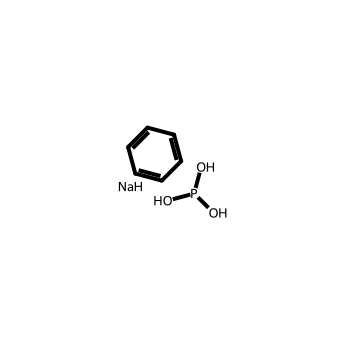 OP(O)O.[NaH].c1ccccc1